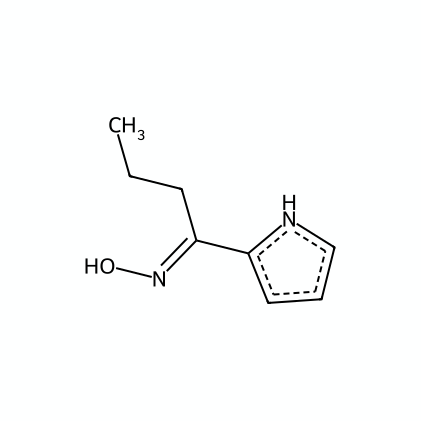 CCCC(=NO)c1ccc[nH]1